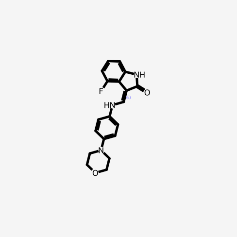 O=C1Nc2cccc(F)c2/C1=C\Nc1ccc(N2CCOCC2)cc1